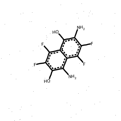 Nc1c(F)c(F)c2c(N)c(O)c(F)c(F)c2c1O